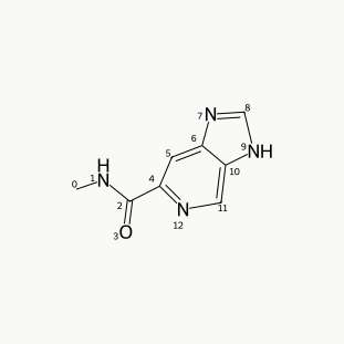 CNC(=O)c1cc2nc[nH]c2cn1